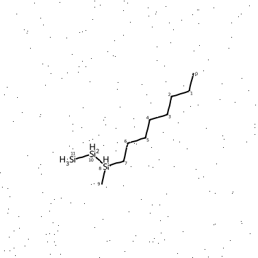 CCCCCCCC[SiH](C)[SiH2][SiH3]